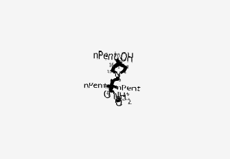 CCCCCC1(O)CCN(CCC(CCCCC)(CCCCC)C(=O)[NH2+][O-])CC1